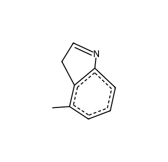 Cc1cccc2c1CC=N2